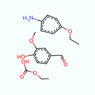 CCOC(=O)O.CCOc1ccc(N)cc1.COc1cc(C=O)ccc1O